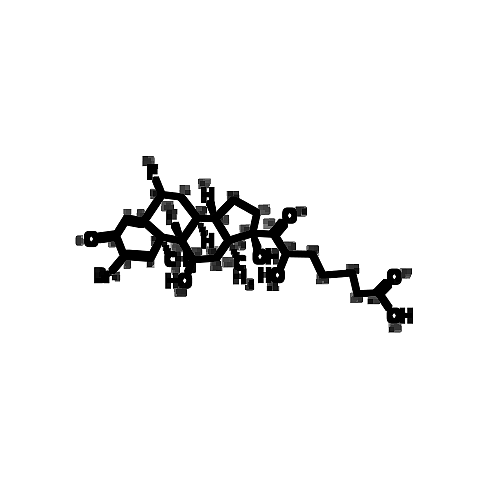 C[C@]12C=C(Br)C(=O)C=C1C(F)C[C@H]1[C@@H]3CC[C@](O)(C(=O)C(O)CCCCC(=O)O)[C@@]3(C)CC(O)[C@@]12F